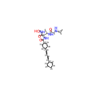 C[C@@H](NC(=O)CNC1CC1)[C@H](NC(=O)c1ccc(C#CC#Cc2ccccc2)cc1)C(=O)NO